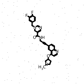 CN1CCC(Oc2ccnc3ccc(C#CCNC(=O)C4=CN=CN(Cc5ccc(F)c(F)c5)C4)cc23)C1